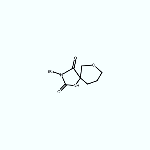 CC(C)(C)N1C(=O)NC2(CCCOC2)C1=O